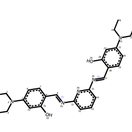 CCN(CC)c1ccc(/C=N/c2cccc(/N=C/c3ccc(N(CC)CC)cc3O)n2)c(O)c1